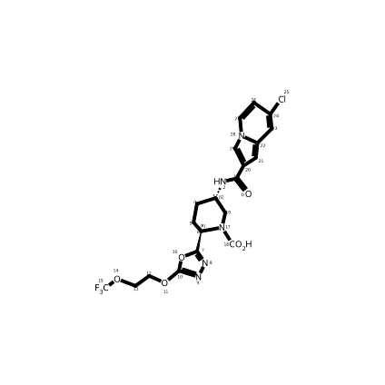 O=C(N[C@H]1CC[C@H](c2nnc(OCCOC(F)(F)F)o2)N(C(=O)O)C1)c1cc2cc(Cl)ccn2c1